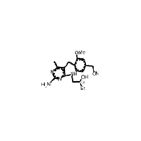 CC[C@H](O)CNc1nc(N)nc(C)c1Cc1ccc(CC#N)cc1OC